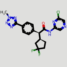 Cn1nnc(-c2ccc([C@@H](C(=O)Nc3cncc(Cl)n3)[C@H]3CCC(F)(F)C3)cc2)n1